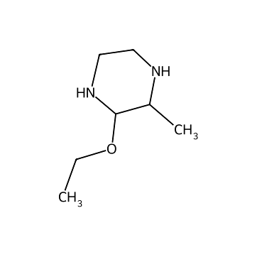 CCOC1NCCNC1C